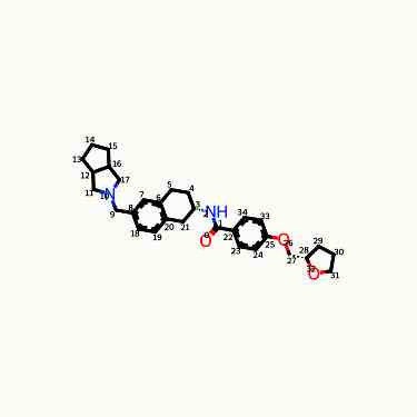 O=C(N[C@H]1CCc2cc(CN3CC4CCCC4C3)ccc2C1)c1ccc(OC[C@@H]2CCCO2)cc1